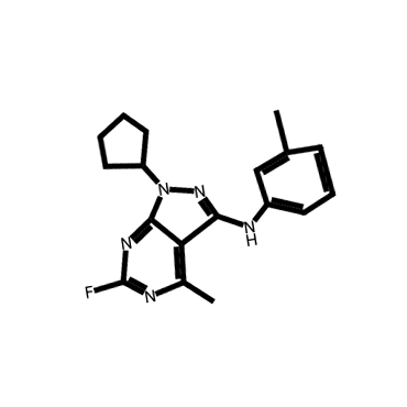 Cc1cccc(Nc2nn(C3CCCC3)c3nc(F)nc(C)c23)c1